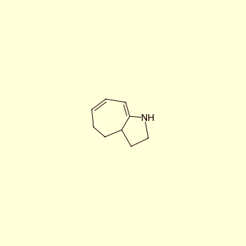 C1=CCCC2CCNC2=C1